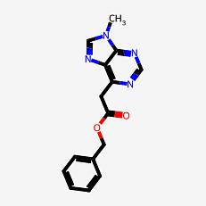 Cn1cnc2c(CC(=O)OCc3ccccc3)ncnc21